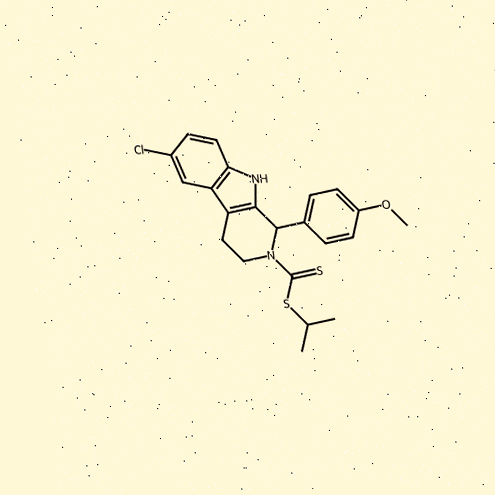 COc1ccc(C2c3[nH]c4ccc(Cl)cc4c3CCN2C(=S)SC(C)C)cc1